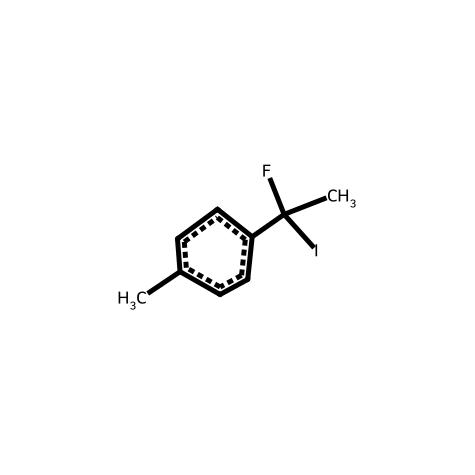 Cc1ccc(C(C)(F)I)cc1